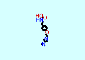 CN(C)C1CN(CCOc2ccc(CCNC(=O)O)cc2)C1